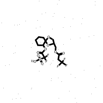 O=C(CC(F)(F)F)OCC1COC2(CCCCC2OC(=O)C(F)(F)S(=O)(=O)O)O1